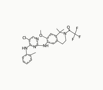 COc1cc2c(cc1Nc1ncc(Cl)c(Nc3ccccc3C)n1)CCN(C(=O)C(F)(F)F)C2(C)C